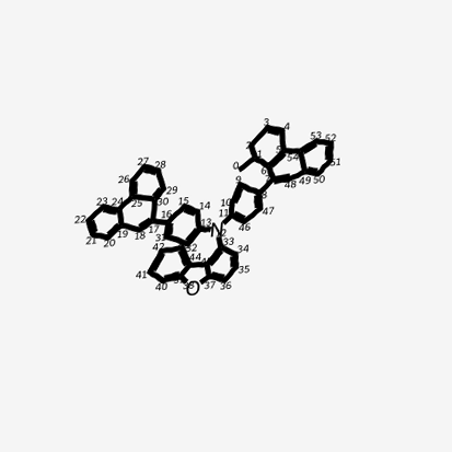 CC1CC=Cc2c1c(-c1ccc(N(c3ccc(-c4cc5ccccc5c5ccccc45)cc3)c3cccc4oc5ccccc5c34)cc1)cc1ccccc21